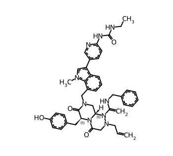 C=CCN1CC(=O)N2[C@@H](Cc3ccc(O)cc3)C(=O)N(Cc3cccc4c(-c5ccc(NC(=O)NCC)nc5)cn(C)c34)C[C@@H]2N1C(=C)NCc1ccccc1